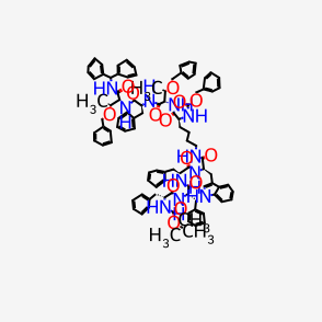 C[C@@H](OCc1ccccc1)[C@H](NC(=O)[C@H](Cc1ccccc1)NC(=O)[C@@H](NC(=O)[C@H](CCCCNC(=O)[C@@H](Cc1c[nH]c2ccccc12)NC(=O)[C@H](Cc1ccccc1)NC(=O)[C@H](Cc1ccccc1)NC(=O)[C@@H](Cc1ccccc1)NC(=O)OC(C)(C)C)NC(=O)OCc1ccccc1)[C@@H](C)OCc1ccccc1)C(=O)NC(c1ccccc1)c1ccccc1